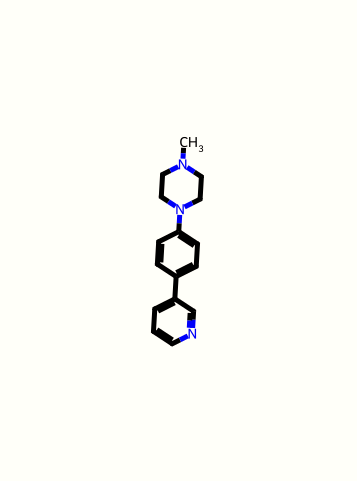 CN1CCN(c2ccc(-c3cccnc3)cc2)CC1